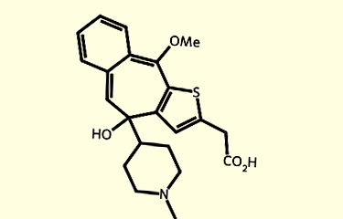 COC1=c2ccccc2=CC(O)(C2CCN(C)CC2)c2cc(CC(=O)O)sc21